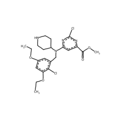 CCOc1cc(CN(c2cc(C(=O)OC)nc(Cl)n2)C2CCNCC2)c(Cl)c(OCC)c1